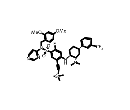 COc1ccc(CN(c2ccncn2)S(=O)(=O)c2cc(C#C[Si](C)(C)C)c(N[C@H]3CC[C@H](c4cccc(C(F)(F)F)c4)C[C@@H]3N(C)C)cc2F)c(OC)c1